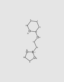 C1CCC(OCCB2OCCO2)OC1